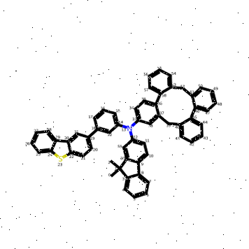 CC1(C)c2ccccc2-c2ccc(N(c3cccc(-c4ccc5sc6ccccc6c5c4)c3)c3ccc4c(c3)Cc3ccccc3-c3ccccc3Cc3ccccc3-4)cc21